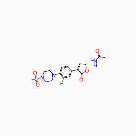 CC(=O)NC[C@H]1C=C(c2ccc(N3CCN(S(C)(=O)=O)CC3)c(F)c2)C(=O)O1